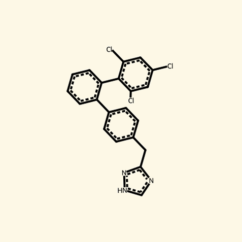 Clc1cc(Cl)c(-c2ccccc2-c2ccc(Cc3nc[nH]n3)cc2)c(Cl)c1